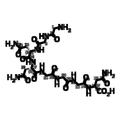 NCC(=O)NCC(=O)N[C@@H](CC(N)=O)C(=O)N[C@@H](CC(N)=O)C(=O)NCC(=O)NCC(=O)NCC(=O)N[C@@H](CC(N)=O)C(=O)O